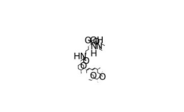 CC[C@H](OC)[C@@H](C)[C@H]1O[C@]1(C)C[C@H](C)/C=C/C=C(\C)[C@H]1O[C@@H](CC(=O)NCCCC[C@@H](NC(=O)N(CC)CC)C(=O)O)CC[C@@H]1C